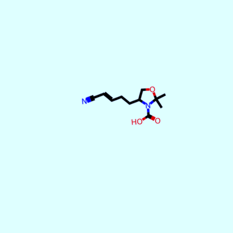 CC1(C)OCC(CC/C=C/C#N)N1C(=O)O